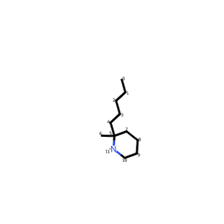 CCCCCC1(C)CCCC[N]1